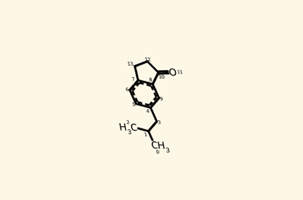 CC(C)Cc1ccc2c(c1)C(=O)CC2